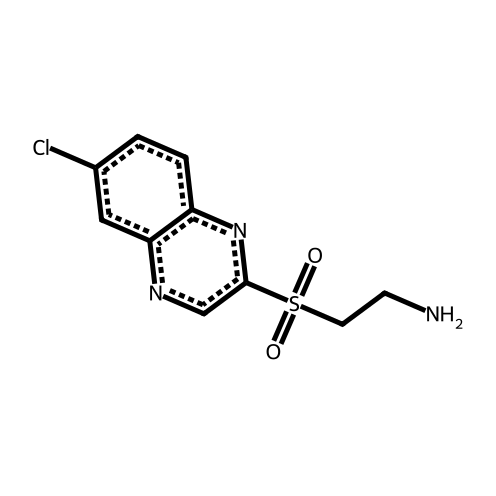 NCCS(=O)(=O)c1cnc2cc(Cl)ccc2n1